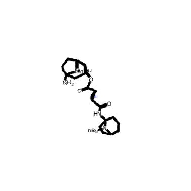 CCCCN1C2CCC1(N)CC(OC(=O)/C=C/C(=O)NC13CCCC(CC1)N3CCCC)C2